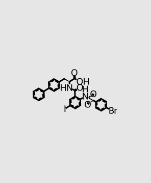 O=C(N[C@@H](Cc1ccc(-c2ccccc2)cc1)C(=O)O)c1cc(I)ccc1NS(=O)(=O)c1ccc(Br)cc1